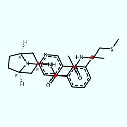 COc1cccc(C(=O)N[C@H]2C[C@H]3CC[C@@H](C2)N3c2ccc(C(=O)NCCSC)cn2)c1C